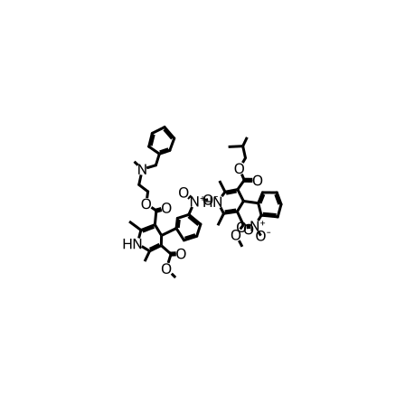 COC(=O)C1=C(C)NC(C)=C(C(=O)OCC(C)C)C1c1ccccc1[N+](=O)[O-].COC(=O)C1=C(C)NC(C)=C(C(=O)OCCN(C)Cc2ccccc2)C1c1cccc([N+](=O)[O-])c1